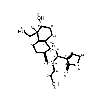 C=C1CCC2[C@](C)(CO)[C@H](O)CC[C@@]2(C)[C@@H]1CC(NCCO)C1=CCOC1=O